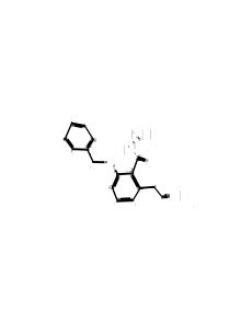 C=CCc1cccc(OCc2ccccc2)c1C(=O)NN